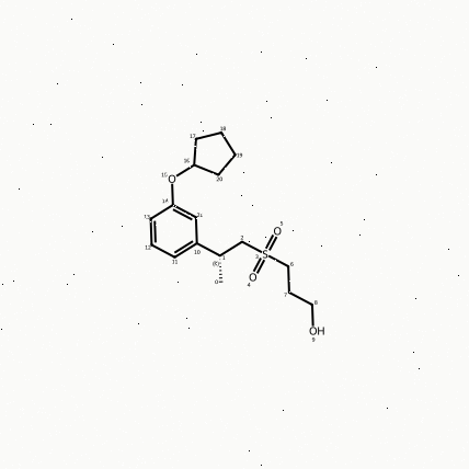 C[C@@H](CS(=O)(=O)CCCO)c1cccc(OC2CCCC2)c1